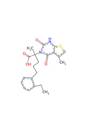 CCc1ccccc1CCCC(C)(C(=O)O)n1c(=O)[nH]c2scc(C)c2c1=O